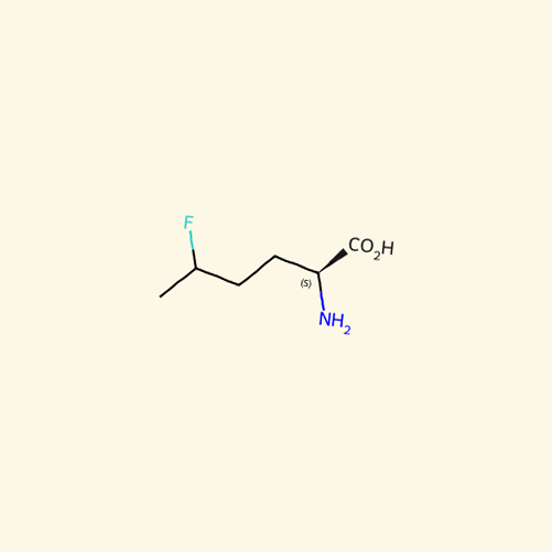 CC(F)CC[C@H](N)C(=O)O